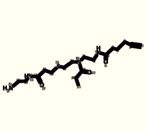 C#CCCCC(=O)NCCN(CCSCCC(=O)NCCN)C(=O)CC